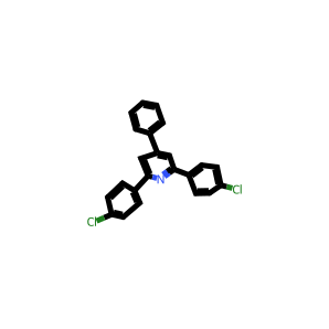 Clc1ccc(-c2cc(-c3ccccc3)cc(-c3ccc(Cl)cc3)n2)cc1